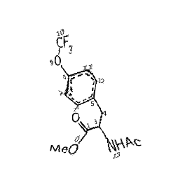 COC(=O)C(Cc1ccc(OC(F)(F)F)cc1)NC(C)=O